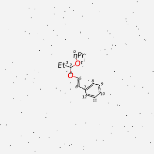 CCCOC(CC)OC=Cc1ccccc1